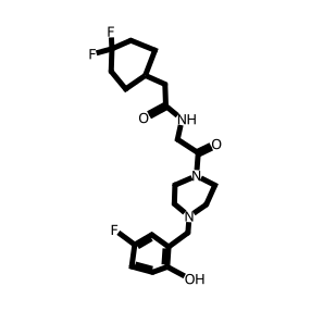 O=C(CC1CCC(F)(F)CC1)NCC(=O)N1CCN(Cc2cc(F)ccc2O)CC1